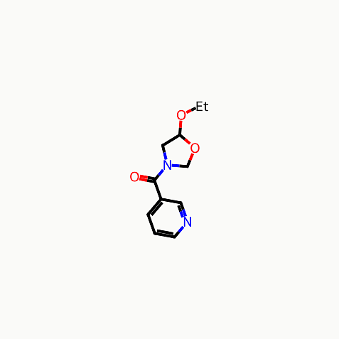 CCOC1CN(C(=O)c2cccnc2)CO1